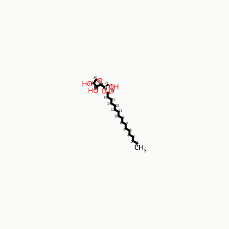 CCCCCCCCCCCCCCCCCC(=O)O[C@H](CO)[C@H]1OC[C@H](O)[C@H]1O